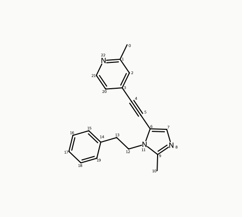 Cc1cc(C#Cc2cnc(C)n2CCc2ccccc2)ccn1